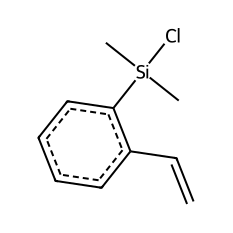 C=Cc1ccccc1[Si](C)(C)Cl